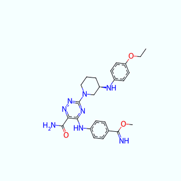 CCOc1ccc(N[C@@H]2CCCN(c3nnc(C(N)=O)c(Nc4ccc(C(=N)OC)cc4)n3)C2)cc1